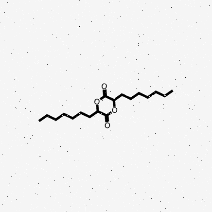 CCCCCCCC1OC(=O)C(CCCCCCC)OC1=O